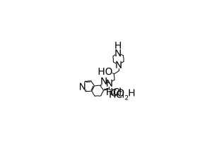 Cl.Cl.O=C(O)c1c2c(nn1CC(O)CN1CCNCC1)-c1ccncc1CC2